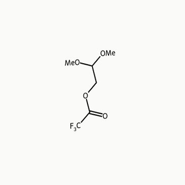 COC(COC(=O)C(F)(F)F)OC